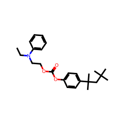 CCN(CCOC(=O)Oc1ccc(C(C)(C)CC(C)(C)C)cc1)c1ccccc1